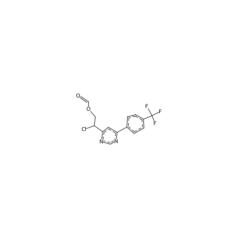 O=COCC(Cl)c1cc(-c2ccc(C(F)(F)F)cc2)ncn1